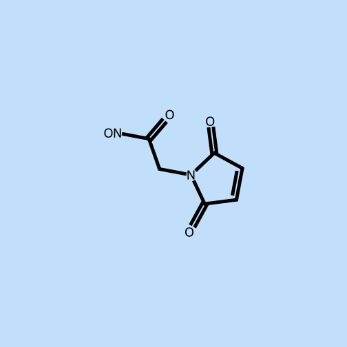 O=NC(=O)CN1C(=O)C=CC1=O